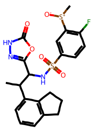 CC(c1cccc2c1CCC2)C(NS(=O)(=O)c1ccc(F)c([S+](C)[O-])c1)c1n[nH]c(=O)o1